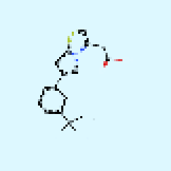 CC(C)(C)c1cccc(-c2cc3scc(CC(=O)O)n3c2)c1